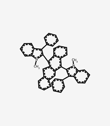 Cn1c(-c2c3ccccc3c(-c3c(-c4ccccc4)c4ccccc4n3C)c3cc4ccccc4cc23)c(-c2ccccc2)c2ccccc21